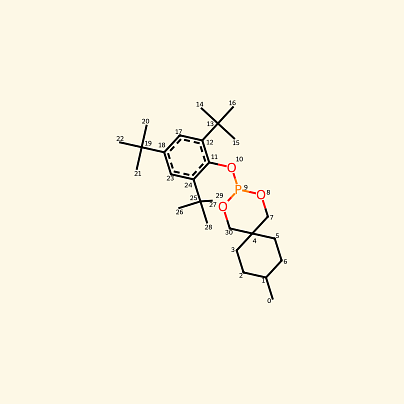 CC1CCC2(CC1)COP(Oc1c(C(C)(C)C)cc(C(C)(C)C)cc1C(C)(C)C)OC2